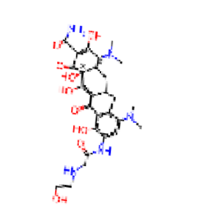 CN(C)c1cc(NC(=O)CNCCO)c(O)c2c1CC1CC3[C@H](N(C)C)C(O)=C(C(N)=O)C(=O)[C@@]3(O)C(O)=C1C2=O